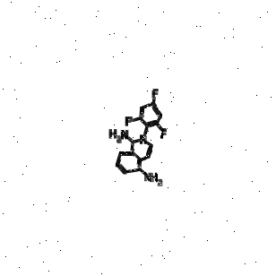 Nc1cccc2c1C=CN(c1c(F)cc(F)cc1F)C2N